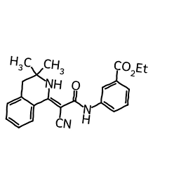 CCOC(=O)c1cccc(NC(=O)/C(C#N)=C2\NC(C)(C)Cc3ccccc32)c1